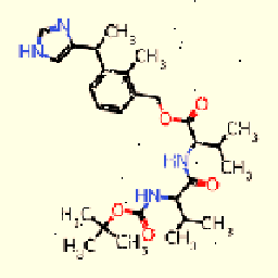 Cc1c(COC(=O)C(NC(=O)C(NC(=O)OC(C)(C)C)C(C)C)C(C)C)cccc1C(C)c1c[nH]cn1